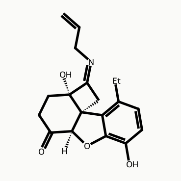 C=CC/N=C1/C[C@]23c4c(CC)ccc(O)c4O[C@H]2C(=O)CC[C@@]13O